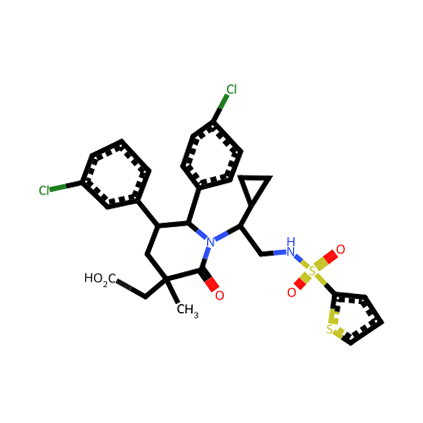 CC1(CC(=O)O)CC(c2cccc(Cl)c2)C(c2ccc(Cl)cc2)N(C(CNS(=O)(=O)c2cccs2)C2CC2)C1=O